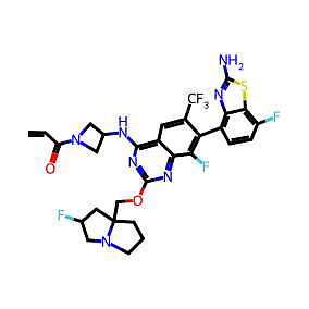 C=CC(=O)N1CC(Nc2nc(OCC34CCCN3CC(F)C4)nc3c(F)c(-c4ccc(F)c5sc(N)nc45)c(C(F)(F)F)cc23)C1